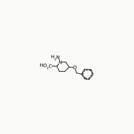 NN1CC(OCc2ccccc2)CCC1C(=O)O